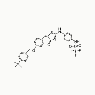 CC(C)(C)c1ccc(COc2ccc(C=C3SC(Nc4ccc(NS(=O)(=O)C(F)(F)F)cc4)=NC3=O)cc2)cc1